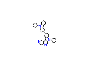 c1ccc(-n2c3ccccc3c3cc(-c4ccc5c(c4)c4c6cnccc6ncc4n5-c4ccccc4)ccc32)cc1